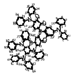 c1ccc(N(c2ccccc2)c2cc3c4c(c2)Oc2c(ccc5c2Oc2ccccc2N5c2ccccc2)B4c2cc4c(cc2O3)N(c2ccccc2)c2cc(N(c3ccccc3)c3ccccc3)cc3c2B4c2ccccc2N3c2ccccc2)cc1